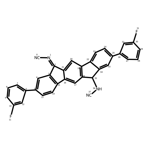 N#C/N=C1\c2cc(-c3cccc(F)c3)ccc2-c2cc3c(cc21)-c1ccc(-c2cccc(F)c2)cc1C3NC#N